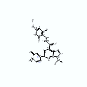 C=C/C=C(\C=C/N)c1cc(C(=O)NCc2c(C)cc(CC)[nH]c2=O)c2cnn(C(C)C)c2n1